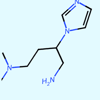 CN(C)CCC(CN)n1ccnc1